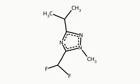 CC(C)c1nc(C(F)F)n(C)n1